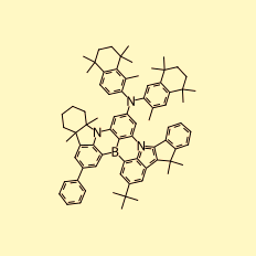 Cc1cc2c(cc1N(c1cc3c4c(c1)-n1c5c(c6cc(C(C)(C)C)cc(c61)B4c1cc(-c4ccccc4)cc4c1N3C1(C)CCCCC41C)C(C)(C)c1ccccc1-5)c1ccc3c(c1C)C(C)(C)CCC3(C)C)C(C)(C)CCC2(C)C